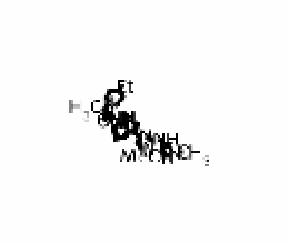 CCC1CCN([C@H](C)C(=O)Nc2cccc3c(-c4ccnc(Nc5cn(C)nc5OC)n4)c[nH]c23)CC1